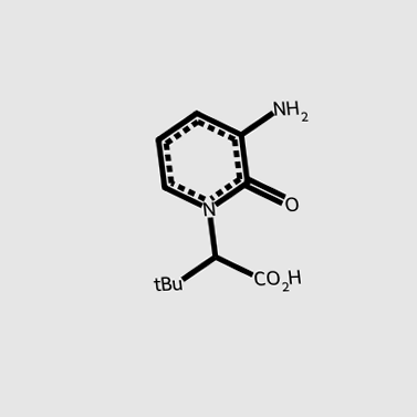 CC(C)(C)C(C(=O)O)n1cccc(N)c1=O